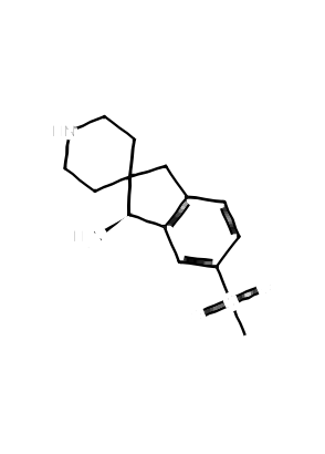 CS(=O)(=O)c1ccc2c(c1)[C@@H](N)C1(CCNCC1)C2